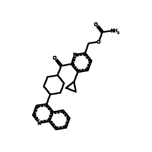 NC(=O)OCc1ccc(C2CC2)c(C(=O)C2CCC(c3ccnc4ccccc34)CC2)n1